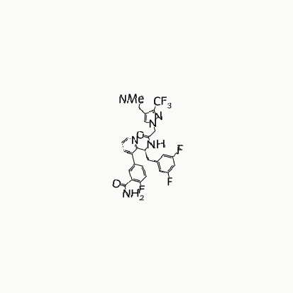 CNCc1cn(CC(=O)N[C@@H](Cc2cc(F)cc(F)c2)c2ncccc2-c2ccc(F)c(C(N)=O)c2)nc1C(F)(F)F